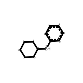 B(c1ccccc1)C1CCCCC1